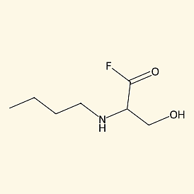 CCCCNC(CO)C(=O)F